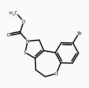 COC(=O)N1CC2=C(CCOc3ccc(Br)cc32)S1